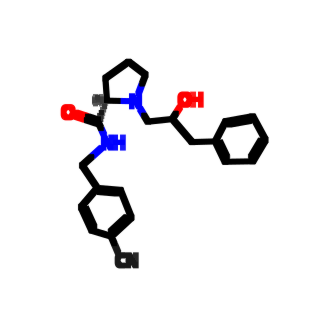 N#Cc1ccc(CNC(=O)[C@@H]2CCCN2CC(O)Cc2ccccc2)cc1